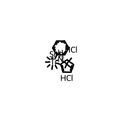 CC(C)(C)[NH][Ti]([CH3])([CH3])([CH3])([CH3])([CH3])(=[SiH2])([C]1=CC=CC1)[c]1ccccc1.Cl.Cl